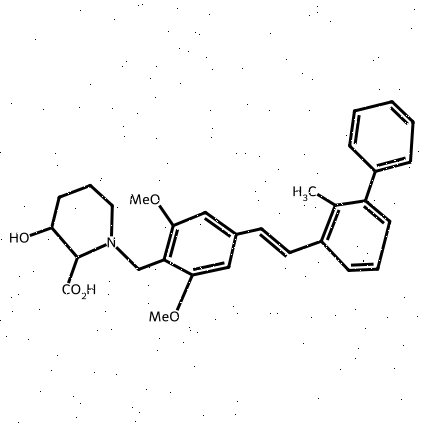 COc1cc(C=Cc2cccc(-c3ccccc3)c2C)cc(OC)c1CN1CCCC(O)C1C(=O)O